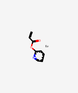 C=CC(=O)Oc1ccccn1.[Eu]